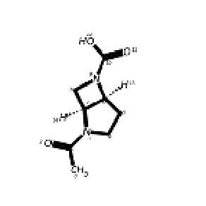 CC(=O)N1CC[C@H]2[C@@H]1CN2C(=O)O